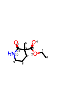 CCOC(=O)C1(C)CCCNC1=O